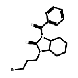 O=C(c1ccccc1)N1C(=O)N(CCCBr)C2CCCCC21